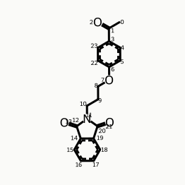 CC(=O)c1ccc(OCCCN2C(=O)c3ccccc3C2=O)cc1